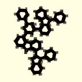 c1ccc(-c2nc(-c3cccc4oc5c(-c6nc7ccccc7n6-c6ccccc6)cccc5c34)nc(-c3cccc4c3c3ccccc3n4-c3ccccc3)n2)cc1